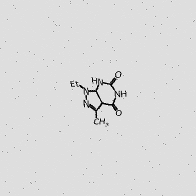 CCN1N=C(C)C2C(=O)NC(=O)NC21